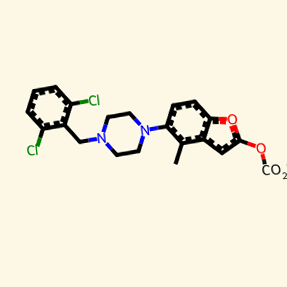 Cc1c(N2CCN(Cc3c(Cl)cccc3Cl)CC2)ccc2oc(OC(=O)O)cc12